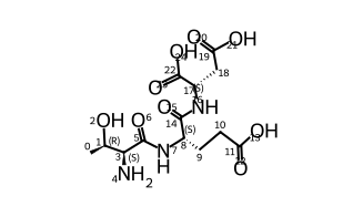 C[C@@H](O)[C@H](N)C(=O)N[C@@H](CCC(=O)O)C(=O)N[C@@H](CC(=O)O)C(=O)O